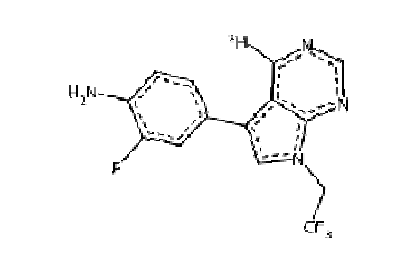 [2H]c1ncnc2c1c(-c1ccc(N)c(F)c1)cn2CC(F)(F)F